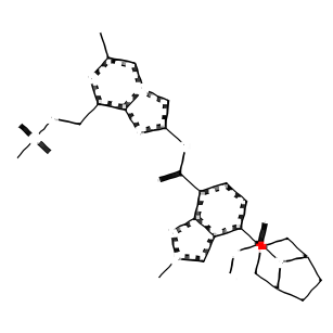 Cc1cn2cc(NC(=O)c3ccc(N4CC5CCC(C4)N5C(=O)OC(C)(C)C)c4cn(C)nc34)nc2c(CNS(C)(=O)=O)n1